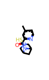 Cc1ccnc(C(=O)N2C3CC2CN(S)C3)c1